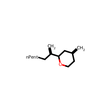 C=C1CCOC(C(=C)CCCCCC)C1